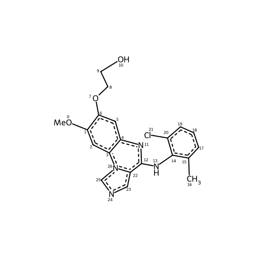 COc1cc2c(cc1OCCO)nc(Nc1c(C)cccc1Cl)c1cncn12